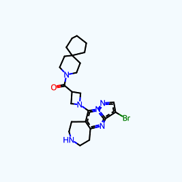 O=C(C1CN(c2c3c(nc4c(Br)cnn24)CCNCC3)C1)N1CCC2(CCCCC2)CC1